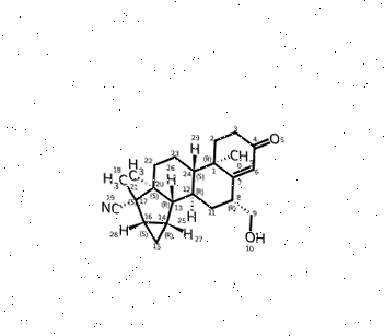 C[C@]12CCC(=O)C=C1[C@H](CO)C[C@H]1[C@@H]3[C@@H]4C[C@@H]4[C@](C)(C#N)[C@@]3(C)CC[C@@H]12